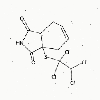 O=C1NC(=O)C2(SC(Cl)(Cl)C(Cl)Cl)CC=CCC12